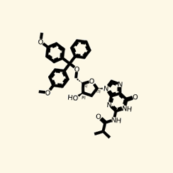 COc1ccc(C(OC[C@@H]2O[C@H](n3cnc4c(=O)[nH]c(NC(=O)C(C)C)nc43)C[C@H]2O)(c2ccccc2)c2ccc(OC)cc2)cc1